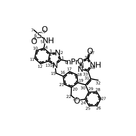 CCCc1nc2c(NS(C)(=O)=O)cccc2n1Cc1ccc2c(c1)COc1ccccc1C2=C(C)c1noc(=O)[nH]1